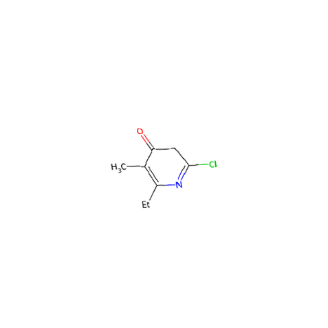 CCC1=C(C)C(=O)CC(Cl)=N1